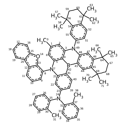 Cc1cc2c3c(c1)N(c1cccc4c1oc1ccccc14)c1cc(N(c4ccccc4C)c4ccccc4C)ccc1B3c1cc3c(cc1N2c1ccc2c(c1)C(C)(C)CCC2(C)C)C(C)(C)CCC3(C)C